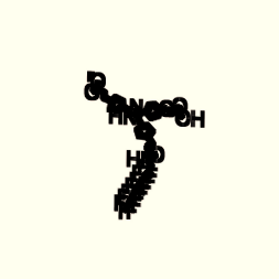 CCOC(=O)C=Cc1ccc(-c2nc(-c3ccc(OCC(=O)O)cc3)c(-c3ccc(C=CC(=O)NCC(F)(F)C(F)(F)C(F)(F)C(F)(F)C(F)(F)C(F)(F)C(F)(F)F)cc3)[nH]2)cc1